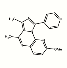 COc1ccc2nc(C)c3c(C)nc(-c4ccncc4)n3c2n1